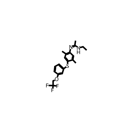 CCNC(C)=Nc1cc(C)c(Sc2cccc(OCC(F)(F)F)c2)cc1C